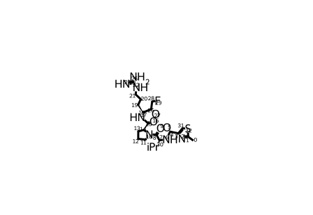 Cc1nc(C(=O)N[C@H](C(=O)N2CCC[C@H]2C(=O)N[C@@H](CCCNC(=N)N)C(=O)CF)C(C)C)cs1